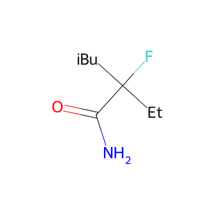 CCC(C)C(F)(CC)C(N)=O